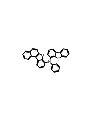 c1ccc(N(c2cccc3c2oc2ccc4ccccc4c23)c2cccc3c2sc2ccccc23)cc1